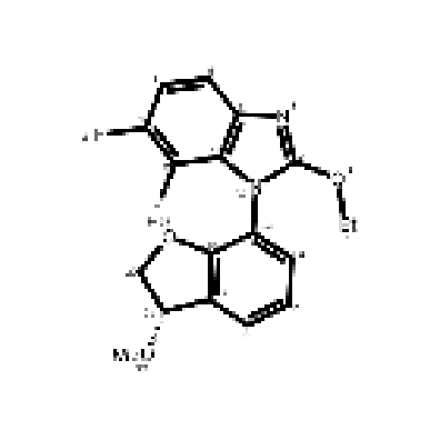 CCOc1nc2ccc(F)c(F)c2n1-c1cccc2c1OC[C@H]2OC